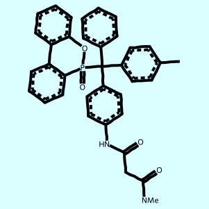 CNC(=O)CC(=O)Nc1ccc(C(c2ccccc2)(c2ccc(C)cc2)P2(=O)Oc3ccccc3-c3ccccc32)cc1